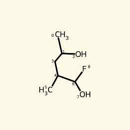 CC(O)CC(C)C(O)F